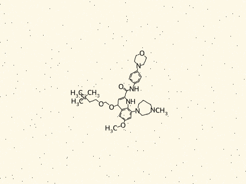 COc1cc2c(c(N3CCCN(C)CC3)c1)NC(C(=O)Nc1ccc(N3CCOCC3)cc1)=CC2OCOCC[Si](C)(C)C